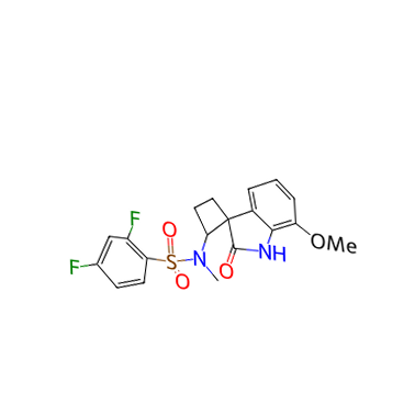 COc1cccc2c1NC(=O)C21CCC1N(C)S(=O)(=O)c1ccc(F)cc1F